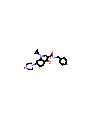 O=C(NCc1ccc(Cl)cc1)c1cn(C2CC2)c2cc(N3CCNCC3)c(F)cc2c1=O